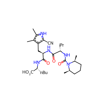 CCCC[C@@H](NC(=O)[C@@H](Cc1c(C#N)[nH]c(C)c1C)NC(=O)[C@@H](NC(=O)N1[C@H](C)CCC[C@@H]1C)C(C)C)C(=O)O